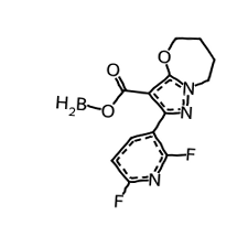 BOC(=O)c1c(-c2ccc(F)nc2F)nn2c1OCCCC2